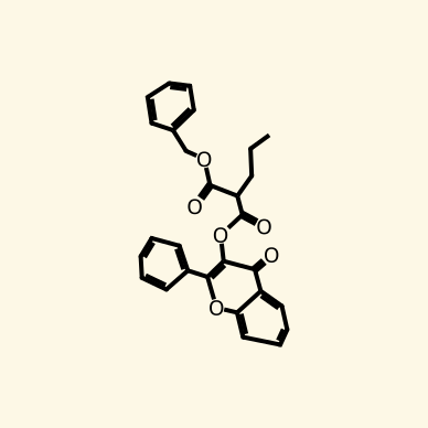 CCCC(C(=O)OCc1ccccc1)C(=O)Oc1c(-c2ccccc2)oc2ccccc2c1=O